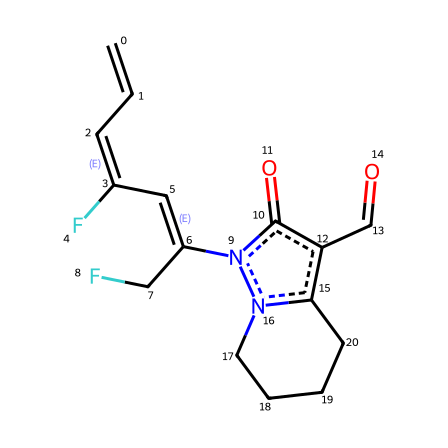 C=C/C=C(F)\C=C(/CF)n1c(=O)c(C=O)c2n1CCCC2